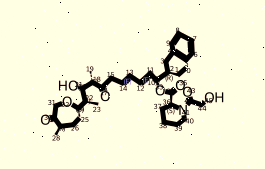 CC[C@H](Cc1ccccc1)[C@H](/C=C/C=C/CC(=O)[C@@H](C)[C@H](O)[C@@H](C)[C@@H]1CC[C@@H](C)C(=O)CO1)OC(=O)[C@@H]1CCCCN1C(=O)CO